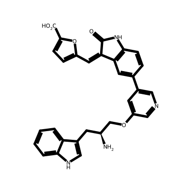 N[C@H](COc1cncc(-c2ccc3c(c2)/C(=C/c2ccc(C(=O)O)o2)C(=O)N3)c1)Cc1c[nH]c2ccccc12